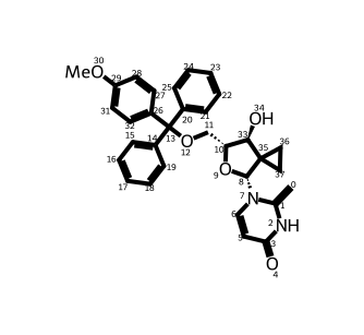 C=C1NC(=O)C=CN1[C@@H]1O[C@H](COC(c2ccccc2)(c2ccccc2)c2ccc(OC)cc2)[C@@H](O)C12CC2